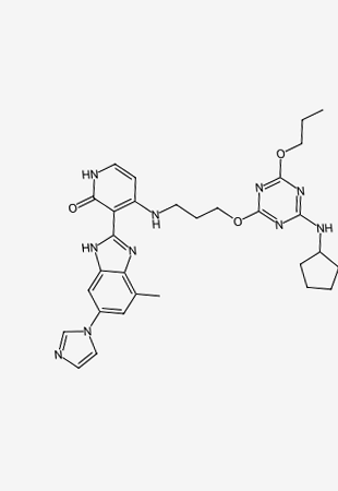 CCCOc1nc(NC2CCCC2)nc(OCCCNc2cc[nH]c(=O)c2-c2nc3c(C)cc(-n4ccnc4)cc3[nH]2)n1